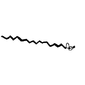 CCCCC=CCCCCCCCC/C=C/CCOOC